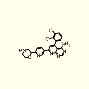 Nc1ncnc2nc(-c3ccc(C4CNCCO4)nc3)cc(-c3cccc(Cl)c3Cl)c12